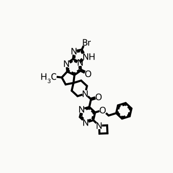 CC1CC2(CCN(C(=O)c3ncnc(N4CCC4)c3OCc3ccccc3)CC2)c2c1nc1nc(Br)[nH]n1c2=O